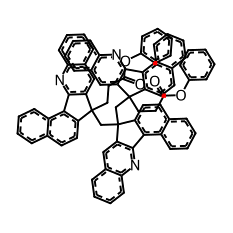 O=C(CCC1(CC2(CC3(CCC(=O)Oc4ccccc4)c4cc5ccccc5nc4-c4c3ccc3ccccc43)c3cc4ccccc4nc3-c3c2ccc2ccccc32)c2cc3ccccc3nc2-c2c1ccc1ccccc21)Oc1ccccc1